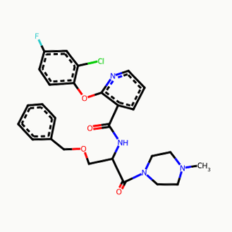 CN1CCN(C(=O)C(COCc2ccccc2)NC(=O)c2cccnc2Oc2ccc(F)cc2Cl)CC1